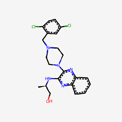 C[C@H](CO)Nc1nc2ccccc2nc1N1CCN(Cc2cc(Cl)ccc2Cl)CC1